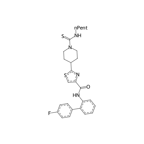 CCCCCNC(=S)N1CCC(c2nc(C(=O)Nc3ccccc3-c3ccc(F)cc3)cs2)CC1